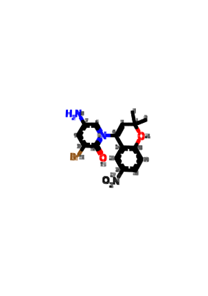 CC1(C)C=C(n2cc(N)cc(Br)c2=O)c2cc([N+](=O)[O-])ccc2O1